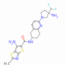 Cc1nc2sc(C(=O)NC3CCc4nc(N5CCC(N)(C(F)F)C5)ccc4C3)c(N)c2s1